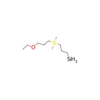 CCOCCCS(C)(C)CCC[SiH3]